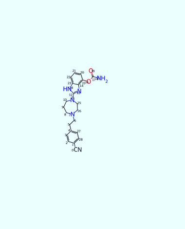 N#Cc1ccc(CCN2CCCN(c3nc4c(OC(N)=O)cccc4[nH]3)CC2)cc1